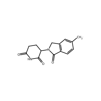 [CH2]c1ccc2c(c1)CN(C1CCC(=O)NC1=O)C2=O